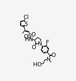 C/C(=C\S(=O)(=O)NC1CCN(c2ccc(C(=O)N(C)CCO)cc2F)C1=O)c1ccc(Cl)s1